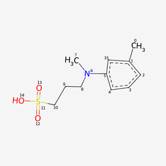 Cc1cccc(N(C)CCCS(=O)(=O)O)c1